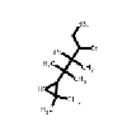 CCC(CC(C)(C)C)C(C)(C(C)C)C(C)(C)C1NC1(C)C